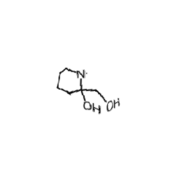 OCC1(O)CCCC[N]1